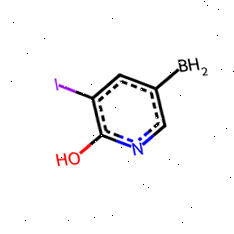 Bc1cnc(O)c(I)c1